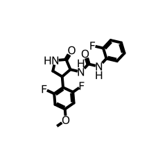 COc1cc(F)c(C2CNC(=O)C2NC(=O)Nc2ccccc2F)c(F)c1